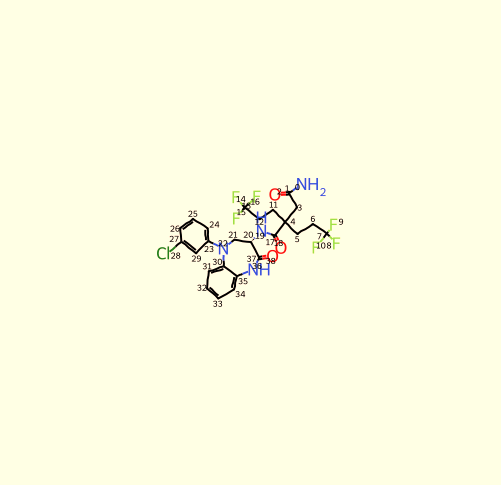 NC(=O)CC(CCC(F)(F)F)(CCC(F)(F)F)C(=O)N[C@H]1CN(c2cccc(Cl)c2)c2ccccc2NC1=O